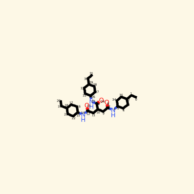 CCC1CCC(NC(=O)CC(CC(=O)NC2CCC(CC)CC2)C(=O)NC2CCC(CC)CC2)CC1